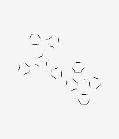 c1ccc(-c2nc(-c3ccc(-c4nc5sc6ccccc6c5c5c4c4ccccc4n5-c4ccccc4)cc3)nc(-n3c4ccccc4c4ccccc43)n2)cc1